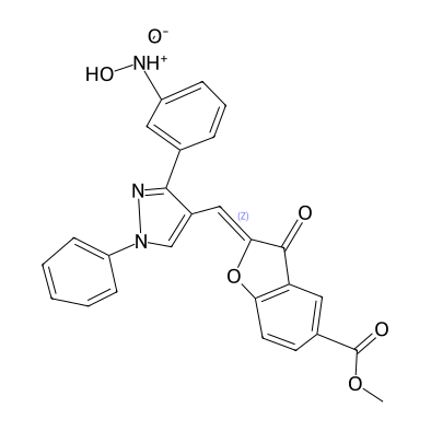 COC(=O)c1ccc2c(c1)C(=O)/C(=C/c1cn(-c3ccccc3)nc1-c1cccc([NH+]([O-])O)c1)O2